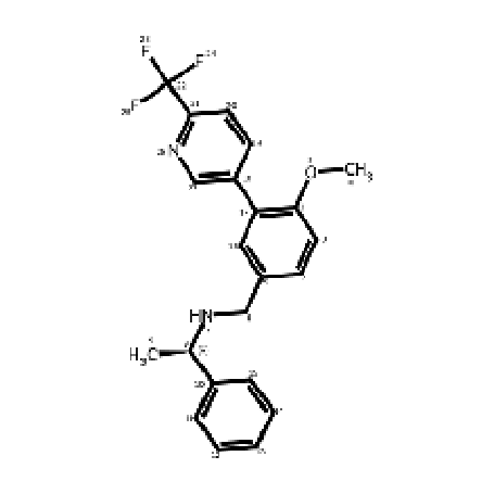 COc1ccc(CN[C@H](C)c2ccccc2)cc1-c1ccc(C(F)(F)F)nc1